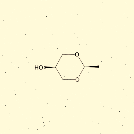 C[C@H]1OC[C@@H](O)CO1